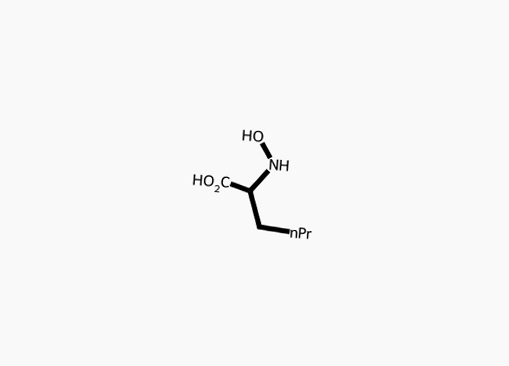 CCCCC(NO)C(=O)O